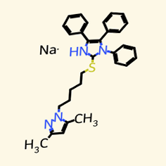 Cc1cc(C)n(CCCCCSC2NC(c3ccccc3)=C(c3ccccc3)N2c2ccccc2)n1.[Na]